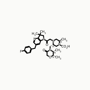 C[C@@H]1OCC(=O)N(C[C@H]2CN(C(=O)O)[C@H](C)CN2CC(=O)N2CC(C)(C)c3ncc(Cc4ccc(F)cc4)cc32)[C@@H]1C